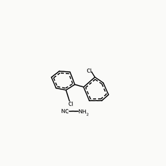 Clc1ccccc1-c1ccccc1Cl.N#CN